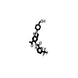 CC(=O)c1cc2nn(C3CCC(CO)CC3)cc2cc1NC(=O)c1cccc(C(F)(F)F)n1